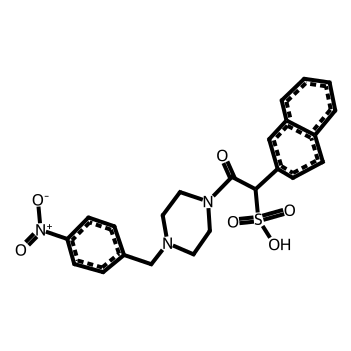 O=C(C(c1ccc2ccccc2c1)S(=O)(=O)O)N1CCN(Cc2ccc([N+](=O)[O-])cc2)CC1